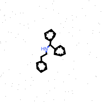 [CH](Cc1ccccc1)NC(c1ccccc1)c1ccccc1